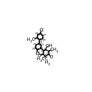 C=C1C(=O)C(C)(C)C(=O)C(c2cc(-c3ccc(Cl)cc3C)ccc2CC)=C1O